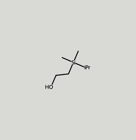 CC(C)[Si](C)(C)CCO